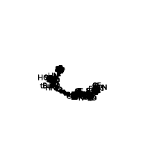 CC(C)(C)[C@H](NC(=O)COCCCCOc1ccc(-c2ncc(N3C(=S)N(c4ccc(C#N)c(C(F)(F)F)c4F)C(=O)C3(C)C)cc2F)c(C(F)(F)F)c1)C(=O)N1C[C@H](O)C[C@H]1C(=O)NCc1ccccc1